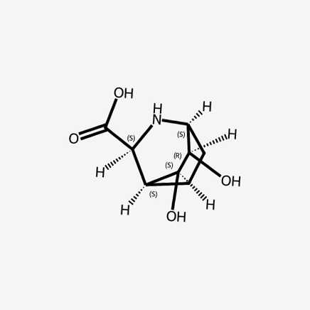 O=C(O)[C@H]1N[C@H]2CC[C@@H]1[C@H](O)[C@@H]2O